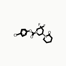 O=C(Oc1ccc(Cl)cc1)N1C[C@H](N2CCCCC2=O)CC(F)(F)C1